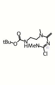 C=C(/N=C(/Cl)NC)N(C)CCNC(=O)OC(C)(C)C